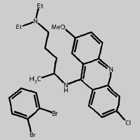 Brc1ccccc1Br.CCN(CC)CCCC(C)Nc1c2ccc(Cl)cc2nc2ccc(OC)cc12